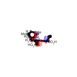 CCc1cc2ccccc2n1CCC(=O)N[C@H](CCC(=O)O)C(=O)NCCOCCOCCC(=O)Nc1cc(COC(=O)N(C)[C@@H](C)C(=O)O[C@H]2CC(=O)N(C)c3cc(cc(OC)c3Cl)C/C(C)=C/C=C/[C@@H](OC)[C@@]3(O)C[C@H](OC(=O)N3)[C@@H](C)[C@@H]3O[C@]23C)ccc1OC1O[C@H](C(=O)O)[C@@H](O)[C@H](O)[C@H]1O